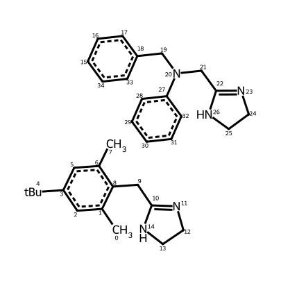 Cc1cc(C(C)(C)C)cc(C)c1CC1=NCCN1.c1ccc(CN(CC2=NCCN2)c2ccccc2)cc1